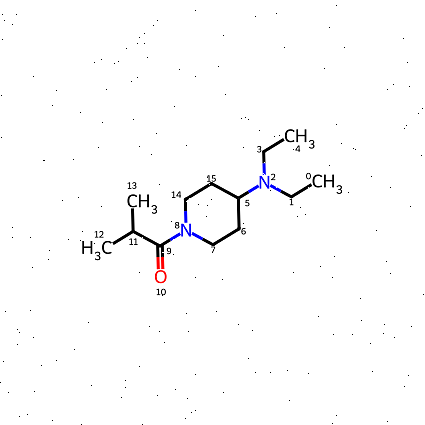 CCN(CC)C1CCN(C(=O)C(C)C)CC1